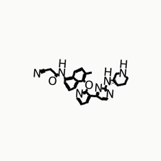 Cc1ccc2c(NC(=O)CC#N)cccc2c1Oc1ncccc1-c1ccnc(N[C@H]2CCCNC2)n1